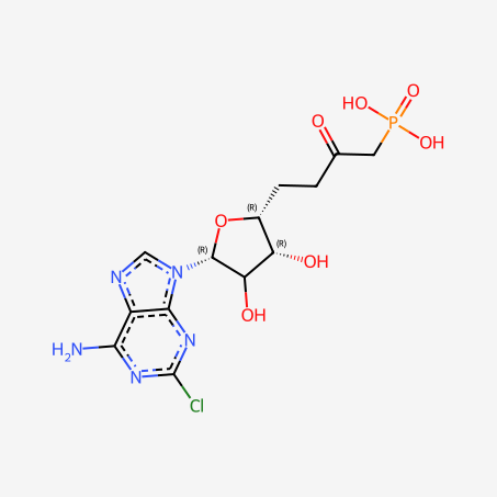 Nc1nc(Cl)nc2c1ncn2[C@@H]1O[C@H](CCC(=O)CP(=O)(O)O)[C@H](O)C1O